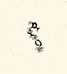 CCCS(=O)(=O)N1CCCN(S(=O)(=O)NC(=O)c2coc(Nc3cc(C(F)F)ccc3C(C)C)n2)CC1